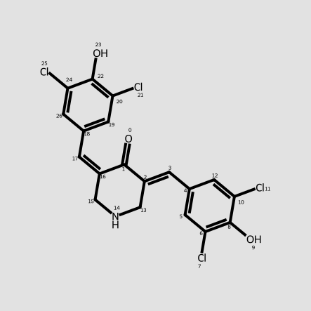 O=C1C(=Cc2cc(Cl)c(O)c(Cl)c2)CNCC1=Cc1cc(Cl)c(O)c(Cl)c1